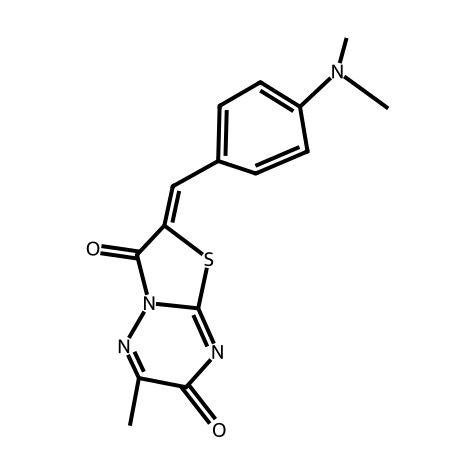 Cc1nn2c(=O)/c(=C/c3ccc(N(C)C)cc3)sc2nc1=O